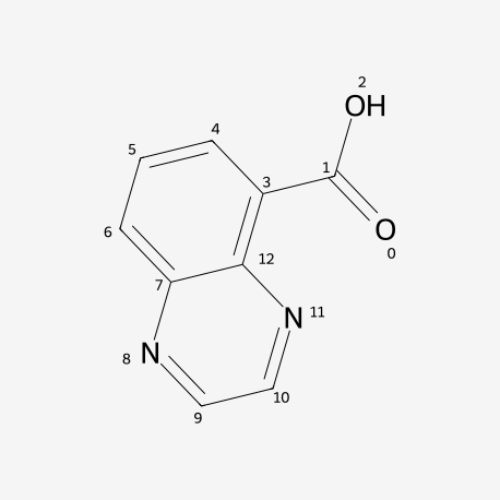 O=C(O)c1cccc2nccnc12